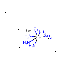 [Fe+2].[NH2][Fe-2]([NH2])([NH2])([NH2])([NH2])[NH2]